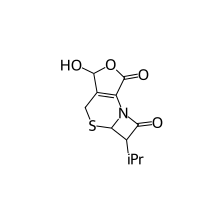 CC(C)C1C(=O)N2C3=C(CSC12)C(O)OC3=O